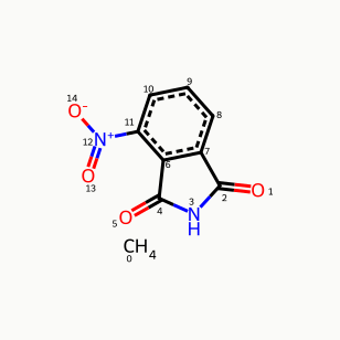 C.O=C1NC(=O)c2c1cccc2[N+](=O)[O-]